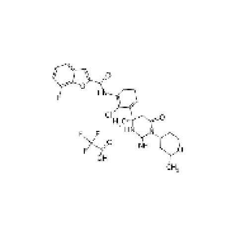 C[C@@H]1C[C@H](N2C(=N)N[C@](C)(c3cccc(NC(=O)c4cc5cccc(F)c5o4)c3Cl)CC2=O)CCO1.O=C(O)C(F)(F)F